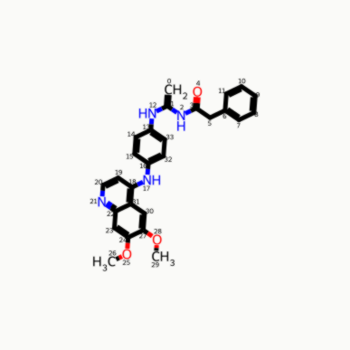 C=C(NC(=O)Cc1ccccc1)Nc1ccc(Nc2ccnc3cc(OC)c(OC)cc23)cc1